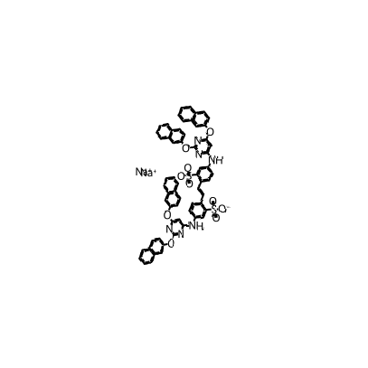 O=S(=O)([O-])c1cc(Nc2cc(Oc3ccc4ccccc4c3)nc(Oc3ccc4ccccc4c3)n2)ccc1C=Cc1ccc(Nc2cc(Oc3ccc4ccccc4c3)nc(Oc3ccc4ccccc4c3)n2)cc1S(=O)(=O)[O-].[Na+].[Na+]